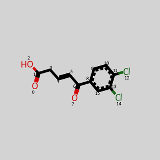 O=C(O)C/C=C/C(=O)c1ccc(Cl)c(Cl)c1